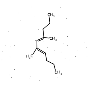 CCCC=C(C)/[C]=C(\C)CCC